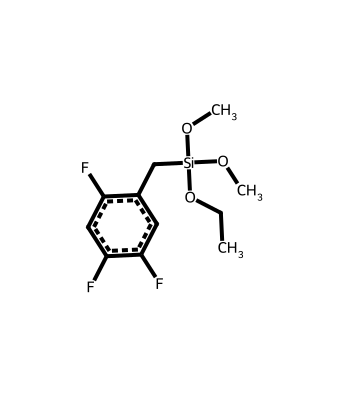 CCO[Si](Cc1cc(F)c(F)cc1F)(OC)OC